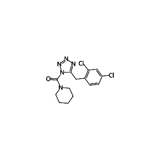 O=C(N1CCCCC1)n1nnnc1Cc1ccc(Cl)cc1Cl